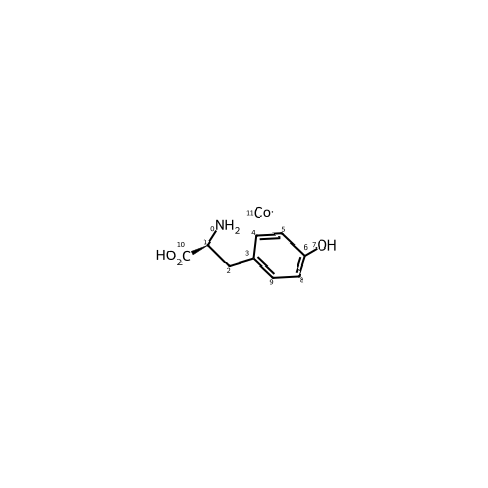 N[C@@H](Cc1ccc(O)cc1)C(=O)O.[Co]